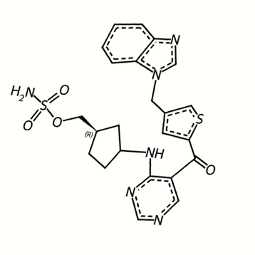 NS(=O)(=O)OC[C@@H]1CCC(Nc2ncncc2C(=O)c2cc(Cn3cnc4ccccc43)cs2)C1